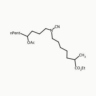 CCCCCC(CCCN(C#N)CCCCCC(C)C(=O)OCC)OC(C)=O